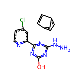 C1=CC2=CC=C1C2.NNc1nc(O)nc(-c2cc(Cl)ccn2)n1